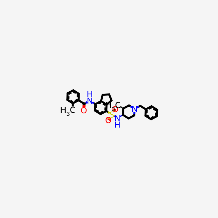 Cc1ccccc1C(=O)Nc1ccc(S(=O)(=O)N[C@@H]2CCN(Cc3ccccc3)C[C@@H]2C)c2c1CCC2